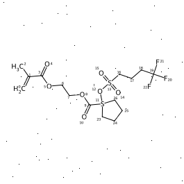 C=C(C)C(=O)OCCOC(=O)S1(OS(=O)(=O)CCCC(F)(F)F)CCCC1